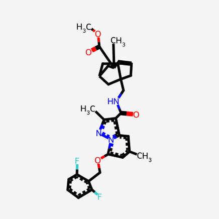 COC(=O)C1(C)C=C2CC3(CNC(=O)c4c(C)nn5c(OCc6c(F)cccc6F)cc(C)cc45)CC(CC23)C1